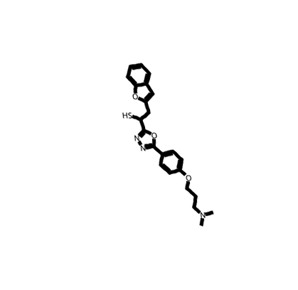 CN(C)CCCOc1ccc(-c2nnc(C(S)Cc3cc4ccccc4o3)o2)cc1